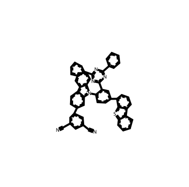 N#Cc1cc(C#N)cc(-c2ccc3c4ccccc4n(-c4ccc(-c5cccc6c5sc5ccccc56)cc4-c4nc(-c5ccccc5)nc(-c5ccccc5)n4)c3c2)c1